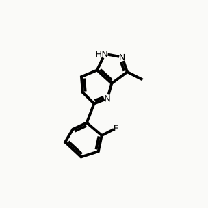 Cc1n[nH]c2ccc(-c3ccccc3F)nc12